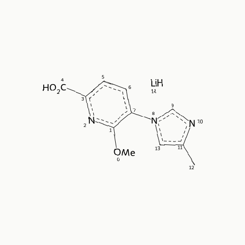 COc1nc(C(=O)O)ccc1-n1cnc(C)c1.[LiH]